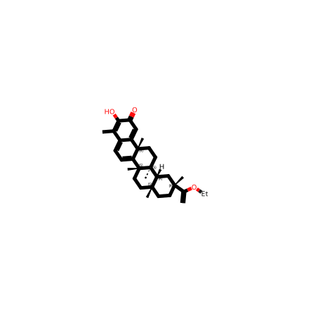 C=C(OCC)[C@]1(C)CC[C@]2(C)CC[C@]3(C)C4=CC=C5C(=CC(=O)C(O)=C5C)[C@]4(C)CC[C@@]3(C)[C@@H]2C1